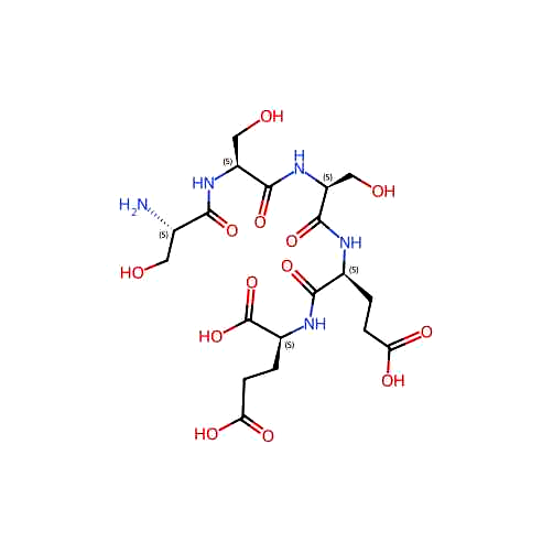 N[C@@H](CO)C(=O)N[C@@H](CO)C(=O)N[C@@H](CO)C(=O)N[C@@H](CCC(=O)O)C(=O)N[C@@H](CCC(=O)O)C(=O)O